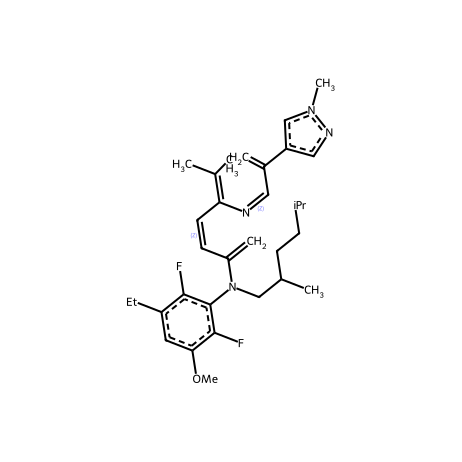 C=C(/C=N\C(/C=C\C(=C)N(CC(C)CCC(C)C)c1c(F)c(CC)cc(OC)c1F)=C(C)C)c1cnn(C)c1